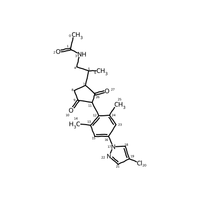 CC(=O)NCC(C)C1CC(=O)C(c2c(C)cc(-n3cc(Cl)cn3)cc2C)C1=O